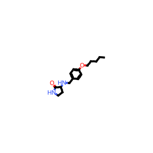 CCCCCOc1ccc(CNC2CCNC2=O)cc1